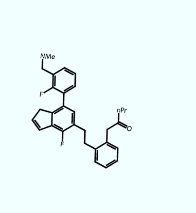 CCCC(=O)Cc1ccccc1CCc1cc(-c2cccc(CNC)c2F)c2c(c1F)C=CC2